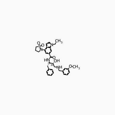 CCn1ccc2c(N3CCCS3(=O)=O)cc(C(=O)N[C@@H](Cc3ccccc3)[C@H](O)CNCc3cccc(OC)c3)cc21